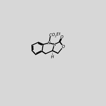 CCOC(=O)N1c2ccccc2C[C@@H]2COC(=O)N21